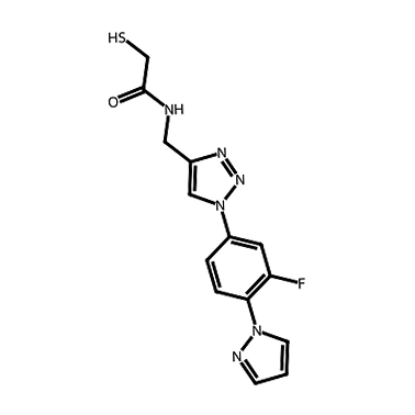 O=C(CS)NCc1cn(-c2ccc(-n3cccn3)c(F)c2)nn1